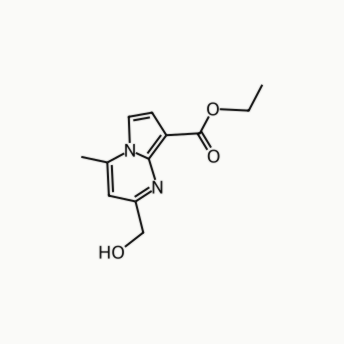 CCOC(=O)c1ccn2c(C)cc(CO)nc12